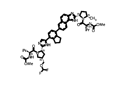 COC(=O)N[C@H](C(=O)N1C[C@@H](COC(F)F)C[C@H]1c1ncc(-c2ccc(-c3ccc4c(ccc5nc([C@@H]6CC[C@H](C)N6C(=O)[C@@H](NC(=O)OC)C(C)C)[nH]c54)c3)c3c2CCC3)[nH]1)C(C)C